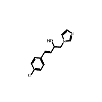 OC(C=Cc1ccc(Cl)cc1)Cn1ccnc1